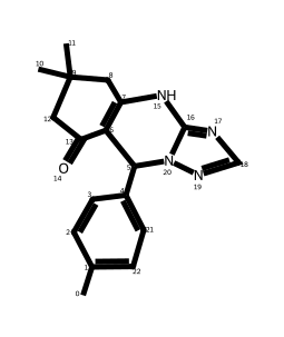 Cc1ccc(C2C3=C(CC(C)(C)CC3=O)Nc3ncnn32)cc1